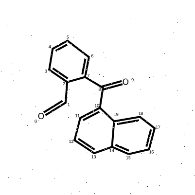 O=Cc1ccccc1C(=O)c1cccc2ccccc12